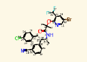 C[C@H](NC(=O)C(C)(C)Oc1ncc(Br)cc1C(F)F)[C@@H](Cc1ccc(Cl)cc1)c1cccc(C#N)c1